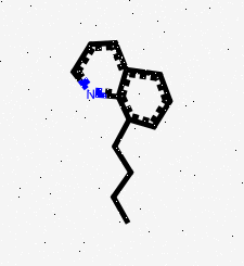 CCCCc1cccc2cccnc12